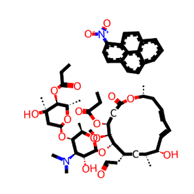 CCC(=O)O[C@@H]1CC(=O)O[C@H](C)C/C=C/C=C/[C@H](O)[C@H](C)C[C@H](CC=O)[C@H](O[C@@H]2O[C@H](C)[C@@H](O[C@H]3C[C@@](C)(O)[C@@H](OC(=O)CC)[C@H](C)O3)[C@H](N(C)C)[C@H]2O)[C@H]1OC.O=[N+]([O-])c1ccc2ccc3cccc4ccc1c2c34